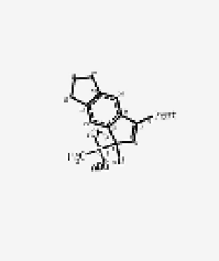 [Li][C]1([Si](C)(C)CCCC)C=C(C(C)CCC)c2cc3c(cc21)CCC3